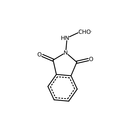 O=[C]NN1C(=O)c2ccccc2C1=O